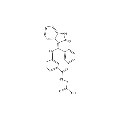 O=C(O)CNC(=O)c1cccc(NC(=C2C(=O)Nc3ccccc32)c2ccccc2)c1